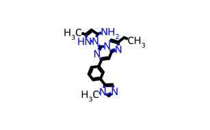 CCc1cn2c(N3NC(C)=CC3N)nc(-c3cccc(-c4cncn4C)c3)cc2n1